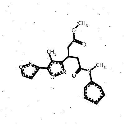 COC(=O)C[C@@H](CC(=O)N(C)c1ccccc1)c1noc(-c2ccon2)c1C